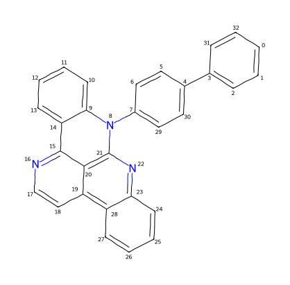 c1ccc(-c2ccc(N3c4ccccc4-c4nccc5c4c3nc3ccccc35)cc2)cc1